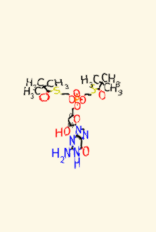 CC(C)(C)C(=O)SCCOP(=O)(OCCSC(=O)C(C)(C)C)OC[C@@H]1C[C@@H](O)C(n2cnc3c(=O)[nH]c(N)nc32)O1